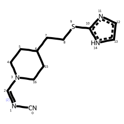 N#C/N=C\N1CCC(CCSc2ncc[nH]2)CC1